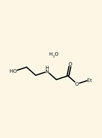 CCOC(=O)CNCCO.O